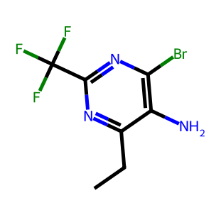 CCc1nc(C(F)(F)F)nc(Br)c1N